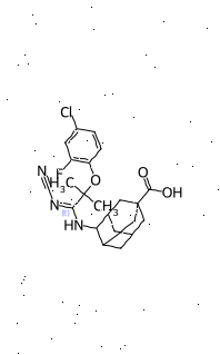 CC(C)(Oc1ccc(Cl)cc1F)/C(=N\C#N)NC1C2CC3CC1CC(C(=O)O)(C3)C2